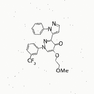 COCCOc1cn(-c2cccc(C(F)(F)F)c2)nc(-c2ccnn2-c2ccccc2)c1=O